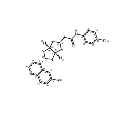 O=C(C[C@H]1C[C@@H]2C[C@H](c3ccnc4ccc(F)cc34)C[C@@H]2C1)Nc1ccc(Cl)cc1